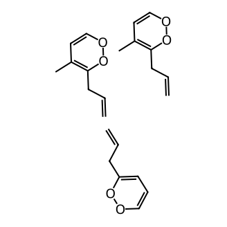 C=CCC1=C(C)C=COO1.C=CCC1=C(C)C=COO1.C=CCC1=CC=COO1